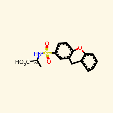 C[C@H](NS(=O)(=O)c1ccc2c(c1)Cc1ccccc1O2)C(=O)O